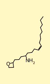 CCCCCCCC/C=C\CCCC(N)CCCC1CCO1